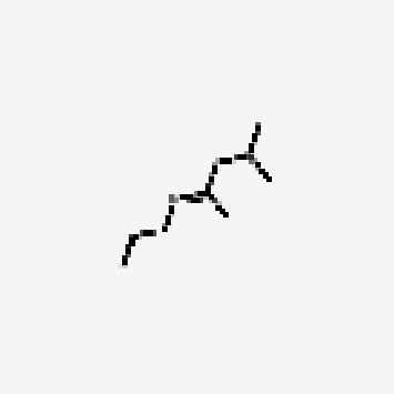 [CH2]CC/N=C(\C)CC(C)C